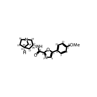 COc1ccc(-c2cnc(C(=O)N[C@@H]3C[C@H]4CCN(C4)C3)o2)cc1